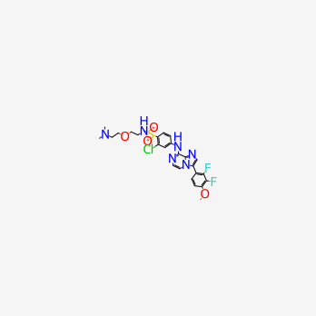 COc1ccc(-c2cnc3c(Nc4ccc(S(=O)(=O)NCCOCCN(C)C)c(Cl)c4)nccn23)c(F)c1F